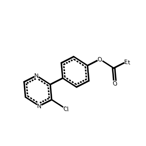 CCC(=O)Oc1ccc(-c2nccnc2Cl)cc1